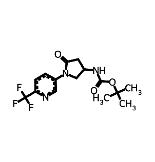 CC(C)(C)OC(=O)NC1CC(=O)N(c2ccc(C(F)(F)F)nc2)C1